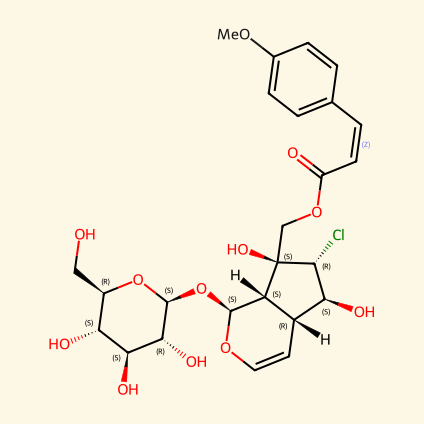 COc1ccc(/C=C\C(=O)OC[C@@]2(O)[C@H]3[C@H](O[C@@H]4O[C@H](CO)[C@@H](O)[C@H](O)[C@H]4O)OC=C[C@H]3[C@H](O)[C@H]2Cl)cc1